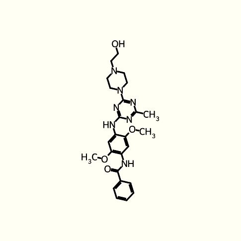 COc1cc(Nc2nc(C)nc(N3CCN(CCO)CC3)n2)c(OC)cc1NC(=O)c1ccccc1